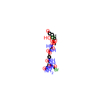 CCC(=O)O[C@]1(C(=O)COCNC(=O)CNC(=O)OCc2ccc(NC(=O)[C@H](CCCNC(N)=O)NC(=O)CNC(=O)CBr)cc2)[C@@H](C)CC2[C@@H]3CCC4=CC(=O)C=C[C@]4(C)[C@@]3(Cl)[C@@H](O)C[C@@]21C